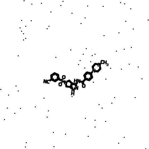 CN1CCN(c2ccc(C(=O)Nc3n[nH]c4c3CN(S(=O)(=O)c3cccc(C#N)c3)C4)cc2)CC1